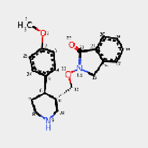 COc1ccc([C@@H]2CCNC[C@H]2CON2Cc3ccccc3C2=O)cc1